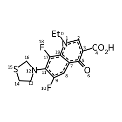 CCn1cc(C(=O)O)c(=O)c2cc(F)c(N3CCSC3)c(F)c21